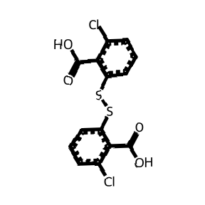 O=C(O)c1c(Cl)cccc1SSc1cccc(Cl)c1C(=O)O